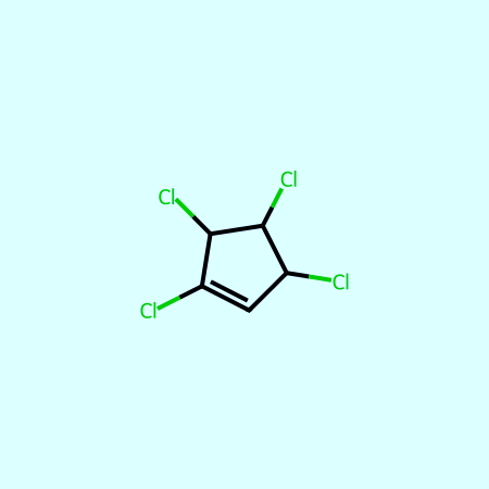 ClC1=CC(Cl)C(Cl)C1Cl